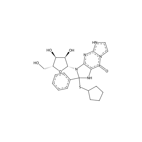 O=c1c2c(nc3[nH]ccn13)N([C@@H]1O[C@H](CO)[C@@H](O)[C@H]1O)C(SC1CCCC1)(c1ccccc1)N2